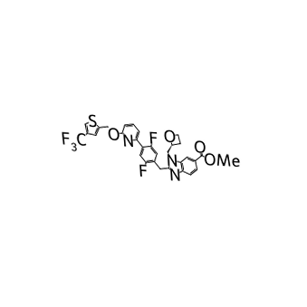 COC(=O)c1ccc2nc(Cc3cc(F)c(-c4cccc(OCc5cc(C(F)(F)F)cs5)n4)cc3F)n(C[C@@H]3CCO3)c2c1